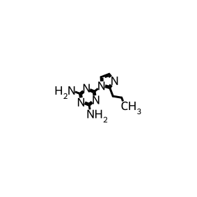 CCCc1nccn1-c1nc(N)nc(N)n1